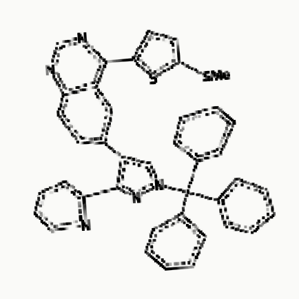 CSc1ccc(-c2ncnc3ccc(-c4cn(C(c5ccccc5)(c5ccccc5)c5ccccc5)nc4-c4ccccn4)cc23)s1